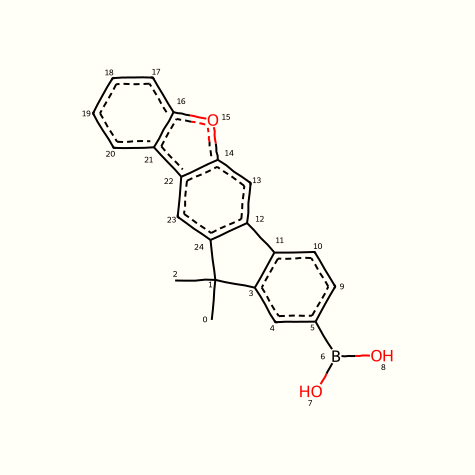 CC1(C)c2cc(B(O)O)ccc2-c2cc3oc4ccccc4c3cc21